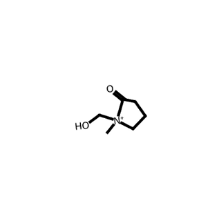 C[N+]1(CO)CCCC1=O